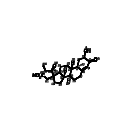 C[C@]12CC(O)C(=O)C=C1CC[C@@H]1[C@@H]2CC[C@@]2(C)[C@H]1CC[C@]2(CC(=O)O)C(=O)CI